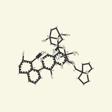 C#Cc1c(F)ccc2cccc(-c3ncc4c(N5C[C@H]6CC[C@@H](C5)N6C(=O)OC(C)(C)C)nc(OCC56CCCN5CCC6)nc4c3F)c12